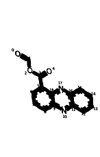 O=COC(=O)c1cccc2nc3ccccc3nc12